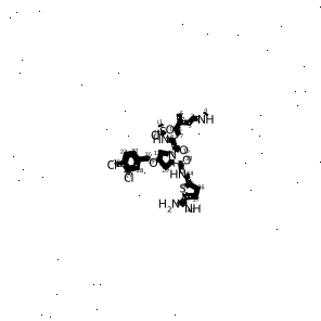 CNCCC(C)CC[C@@H](NS(C)(=O)=O)C(=O)N1C[C@H](OCc2ccc(Cl)c(Cl)c2)C[C@H]1C(=O)NCC1CC=C(C(=N)N)S1